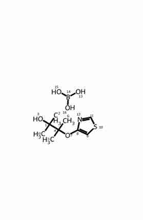 CC(C)(O)C(C)(C)Oc1cscn1.OB(O)O